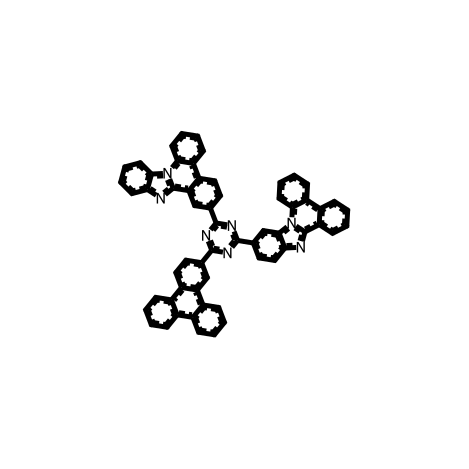 c1ccc2c(c1)nc1c3cc(-c4nc(-c5ccc6c7ccccc7c7ccccc7c6c5)nc(-c5ccc6nc7c8ccccc8c8ccccc8n7c6c5)n4)ccc3c3ccccc3n21